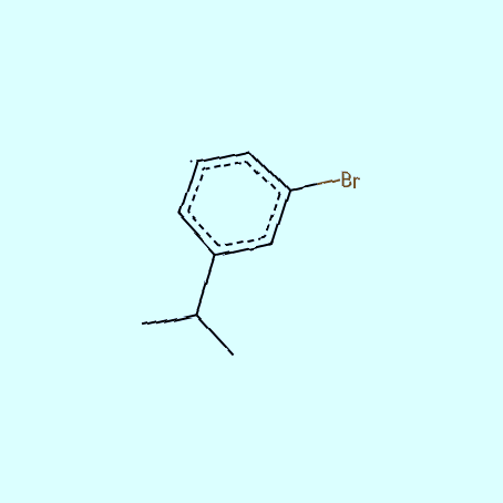 CC(C)c1c[c]cc(Br)c1